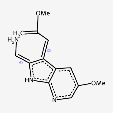 C=C(/C=c1\c(=C/N)[nH]c2ncc(OC)cc12)OC